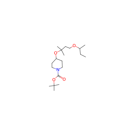 CCC(C)OCCC(C)(C)OC1CCN(C(=O)OC(C)(C)C)CC1